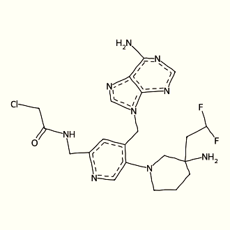 Nc1ncnc2c1ncn2Cc1cc(CNC(=O)CCl)ncc1N1CCCC(N)(CC(F)F)C1